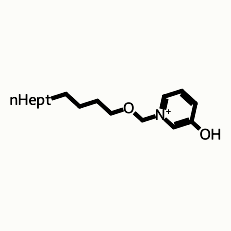 CCCCCCCCCCCOC[n+]1cccc(O)c1